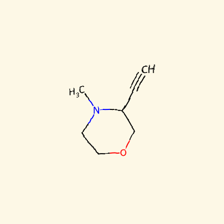 C#CC1COCCN1C